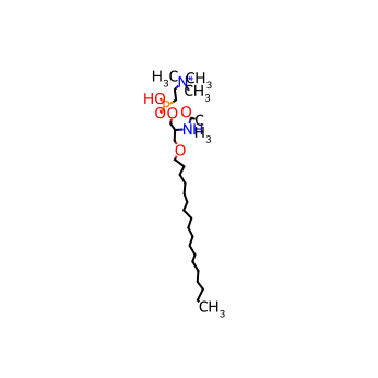 CCCCCCCCCCCCCCCCCCOCC(COP(=O)(O)CC[N+](C)(C)C)NC(C)=O